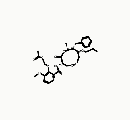 CCCO[C@H]1COCC[C@H](NC(=O)c2nccc(OC)c2OCOC(C)=O)C(=O)O[C@@H](C)[C@@H]1Oc1ccccc1